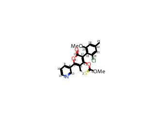 COC(=S)Oc1c(C)c(-c2cccnc2)oc(=O)c1-c1c(Cl)cc(C)cc1OC